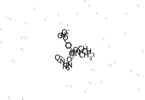 CC(C)(C)NCC(COc1nsnc1N1CCOCC1)OC(=O)c1ccc(CO[N+](=O)[O-])cc1